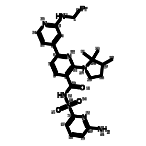 CC(C)CNc1cc(-c2ccc(C(=O)NS(=O)(=O)c3cccc(N)n3)c(N3CCC(C)C3(C)C)n2)ccn1